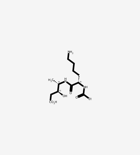 CCC(=O)N[C@@H](CCCCN)C(=O)N[C@@H](C)[C@@H](O)CC(=O)O